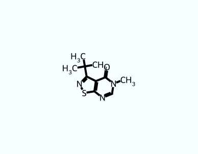 Cn1cnc2snc(C(C)(C)C)c2c1=O